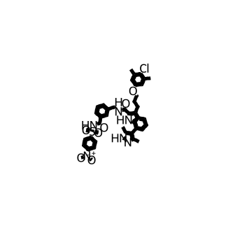 Cc1cc(OCCCc2c(C(=O)NCc3cccc(C(=O)NS(=O)(=O)c4ccc([N+](=O)[O-])cc4)c3)[nH]c3c(-c4c(C)n[nH]c4C)cccc23)cc(C)c1Cl